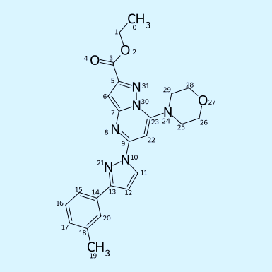 CCOC(=O)c1cc2nc(-n3ccc(-c4cccc(C)c4)n3)cc(N3CCOCC3)n2n1